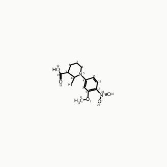 COc1cc(N2CCCC(C(=O)O)C2I)ccc1[N+](=O)[O-]